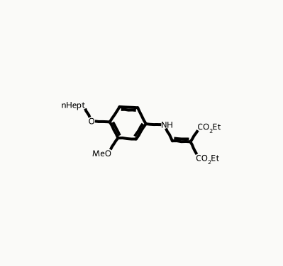 CCCCCCCOc1ccc(NC=C(C(=O)OCC)C(=O)OCC)cc1OC